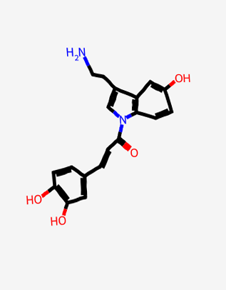 NCCc1cn(C(=O)C=Cc2ccc(O)c(O)c2)c2ccc(O)cc12